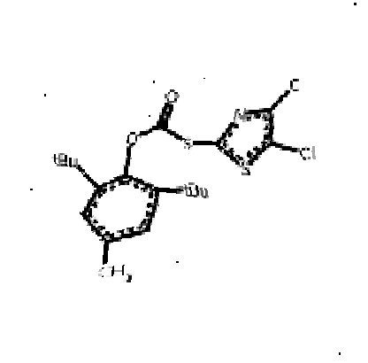 Cc1cc(C(C)(C)C)c(OC(=O)Sc2nc(Cl)c(Cl)s2)c(C(C)(C)C)c1